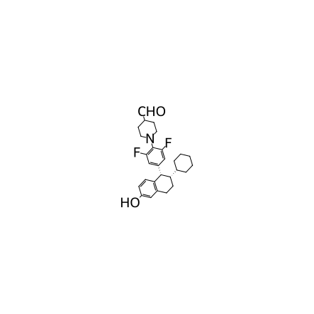 O=CC1CCN(c2c(F)cc([C@H]3c4ccc(O)cc4CC[C@H]3C3CCCCC3)cc2F)CC1